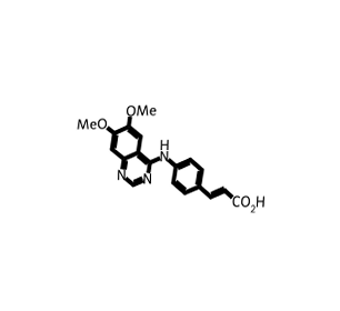 COc1cc2ncnc(Nc3ccc(/C=C/C(=O)O)cc3)c2cc1OC